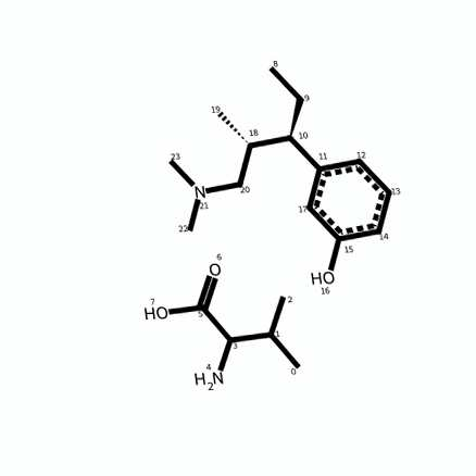 CC(C)C(N)C(=O)O.CC[C@@H](c1cccc(O)c1)[C@@H](C)CN(C)C